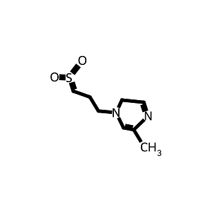 CC1=CN(CCC=S(=O)=O)CC=N1